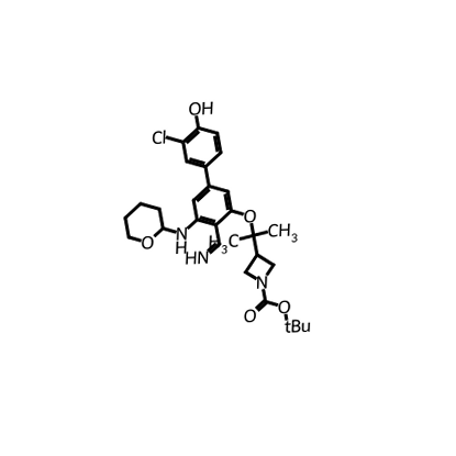 CC(C)(C)OC(=O)N1CC(C(C)(C)Oc2cc(-c3ccc(O)c(Cl)c3)cc(NC3CCCCO3)c2C=N)C1